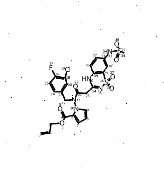 C=CCOC(=O)c1cccn1N(Cc1ccc(F)c(Cl)c1)C(=O)CC1=NS(=O)(=O)c2cc(NS(C)(=O)=O)ccc2N1